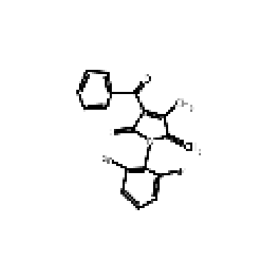 C=C1C(C)=C(C(=O)c2ccccc2)C(=O)N1c1c(C(C)C)cccc1C(C)C